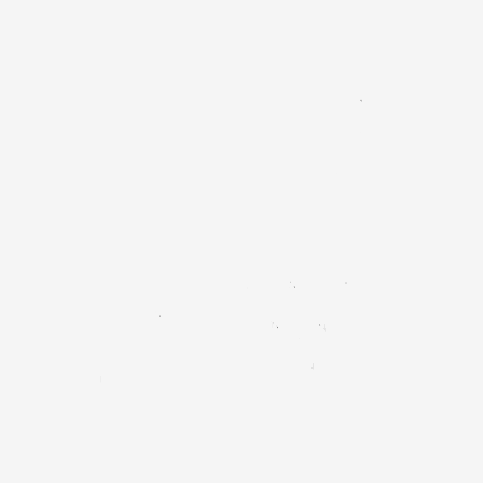 C=CCN1C(S)N(CC#CC[Si](C)(C)CC=C)C(S)N(C/C=C/CCOP(=O)(O)O)C1S